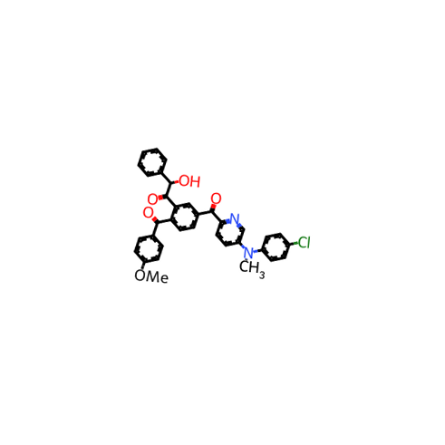 COc1ccc(C(=O)c2ccc(C(=O)c3ccc(N(C)c4ccc(Cl)cc4)cn3)cc2C(=O)C(O)c2ccccc2)cc1